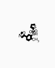 Cc1ccc(-c2cnco2)cc1NS(=O)(=O)c1cccs1